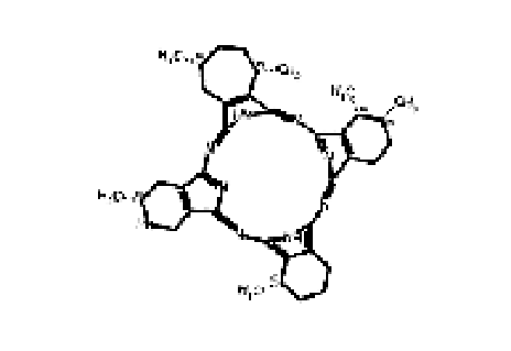 C[C@@H]1CC[C@H](C)c2c(c3nc4nc(nc5[nH]c(nc6nc(nc2[nH]3)C2=C6CC[C@@H](C)[C@H]2C)c2c5[C@@H](C)CCC2)C2=C4C[C@@H](C)NC2)C1